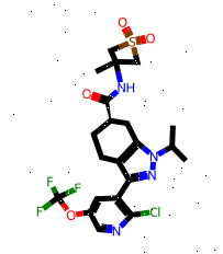 CC(C)n1nc(-c2cc(OC(F)(F)F)cnc2Cl)c2c1C[C@H](C(=O)NC1(C)CS(=O)(=O)C1)CC2